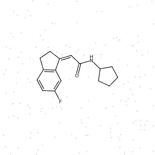 O=C(/C=C1/CCc2ccc(F)cc21)NC1CCCC1